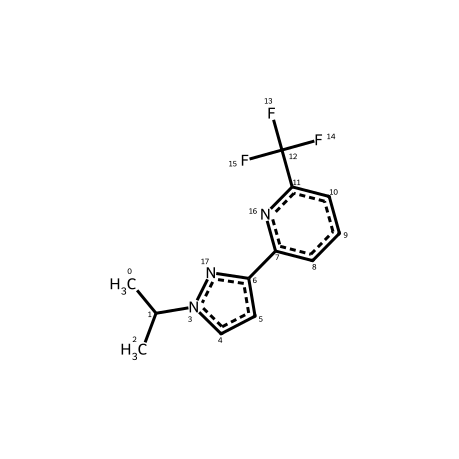 CC(C)n1ccc(-c2cccc(C(F)(F)F)n2)n1